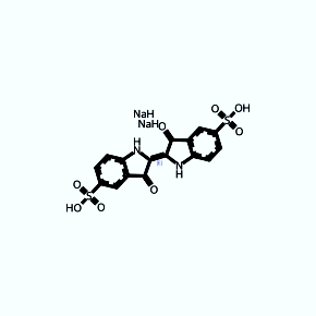 O=C1/C(=C2\Nc3ccc(S(=O)(=O)O)cc3C2=O)Nc2ccc(S(=O)(=O)O)cc21.[NaH].[NaH]